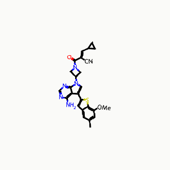 COc1cc(C)cc2cc(-c3cn(C4CN(C(=O)/C(C#N)=C/C5CC5)C4)c4ncnc(N)c34)sc12